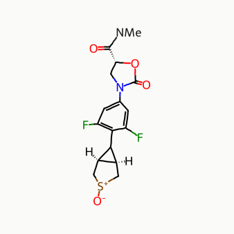 CNC(=O)[C@H]1CN(c2cc(F)c(C3[C@H]4C[S+]([O-])C[C@@H]34)c(F)c2)C(=O)O1